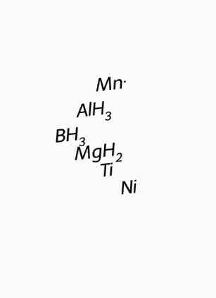 B.[AlH3].[MgH2].[Mn].[Ni].[Ti]